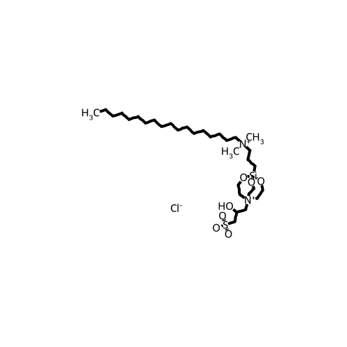 CCCCCCCCCCCCCCCCCC[N+](C)(C)CCC[Si]12OCC[N+](CC(O)CS(=O)(=O)[O-])(CCO1)CCO2.[Cl-]